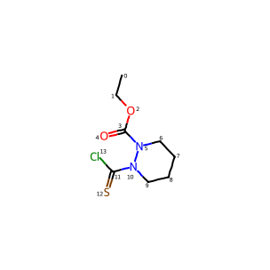 CCOC(=O)N1CCCCN1C(=S)Cl